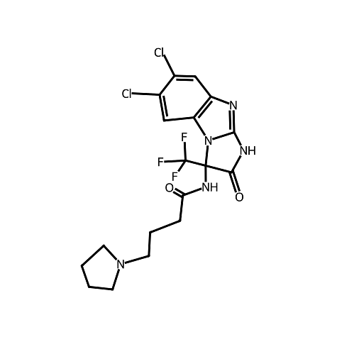 O=C(CCCN1CCCC1)NC1(C(F)(F)F)C(=O)Nc2nc3cc(Cl)c(Cl)cc3n21